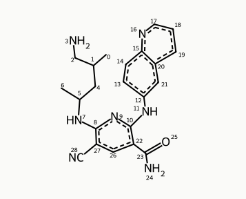 CC(CN)CC(C)Nc1nc(Nc2ccc3ncccc3c2)c(C(N)=O)cc1C#N